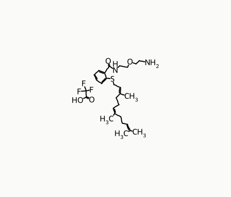 CC(C)=CCCC(C)=CCCC(C)=CCSc1ccccc1C(=O)NCCOCCN.O=C(O)C(F)(F)F